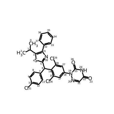 CC(C)c1sc(C(c2ccc(Cl)cc2)c2c(Cl)cc(-n3ncc(=O)[nH]c3=O)cc2Cl)nc1-c1ccccc1